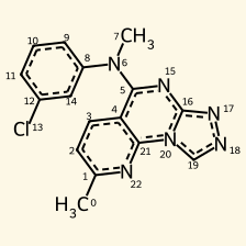 Cc1ccc2c(N(C)c3cccc(Cl)c3)nc3nncn3c2n1